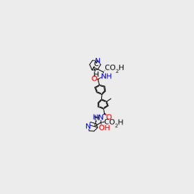 Cc1cc(C(=O)N[C@@](O)(C(=O)O)[C@H]2CN3CCC2CC3)ccc1-c1ccc(C(=O)N[C@@H](C(=O)O)[C@H]2CN3CCC2CC3)cc1